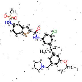 CC(C)Oc1cc(CN2CCCC2)cc(C(C)(C)c2cc(Cl)cc(NC(=O)c3cc4cc(NS(C)(=O)=O)ccc4s3)c2)c1